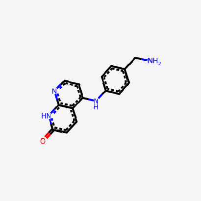 NCc1ccc(Nc2ccnc3[nH]c(=O)ccc23)cc1